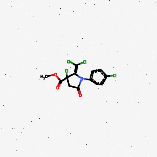 COC(=O)C1(Cl)CC(=O)N(c2ccc(Cl)cc2)C1=C(Cl)Cl